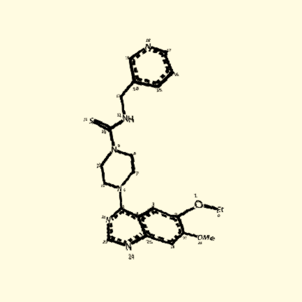 CCOc1cc2c(N3CCN(C(=S)NCc4cccnc4)CC3)ncnc2cc1OC